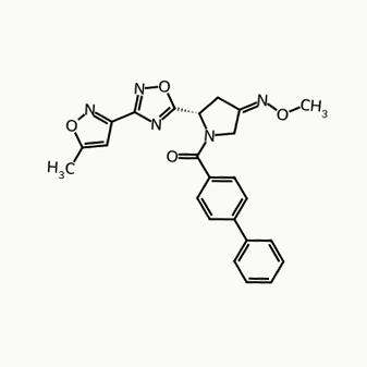 CON=C1C[C@@H](c2nc(-c3cc(C)on3)no2)N(C(=O)c2ccc(-c3ccccc3)cc2)C1